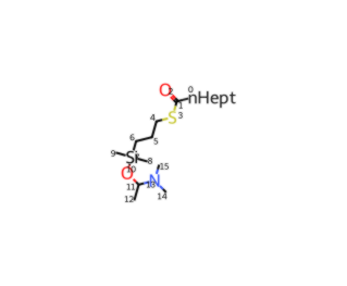 CCCCCCCC(=O)SCCC[Si](C)(C)OC(C)N(C)C